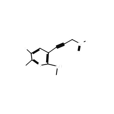 CNc1nc(F)c(F)cc1C#CC[N+](=O)[O-]